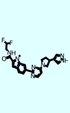 Cn1c(C(=O)NCC(F)F)cc2ccc(-c3nccc(N4CCC(c5cn[nH]c5)C4)n3)cc21